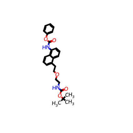 CC(C)(C)OC(=O)NCCOCCc1cccc2c(NC(=O)Oc3ccccc3)cccc12